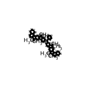 CC1(C)c2cc(N(c3ccccc3)c3ccc4c(c3)C(C)(C)c3cc5c(cc3-4)C(C)(C)c3ccc4ccccc4c3-5)ccc2-c2cc3c(cc21)-c1c(ccc2ccccc12)C3(C)C